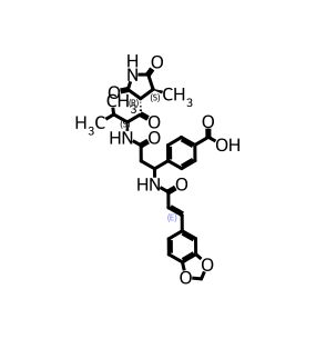 CC(C)[C@H](NC(=O)CC(NC(=O)/C=C/c1ccc2c(c1)OCO2)c1ccc(C(=O)O)cc1)C(=O)[C@@H]1C(=O)NC(=O)[C@H]1C